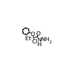 CC[C@](Cl)(Oc1ccccc1)C(=O)NN